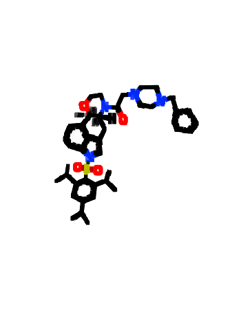 CC(C)c1cc(C(C)C)c(S(=O)(=O)n2cc3c4c(cccc42)[C@@]2(C)OCCN(C(=O)CN4CCN(Cc5ccccc5)CC4)[C@@H]2C3)c(C(C)C)c1